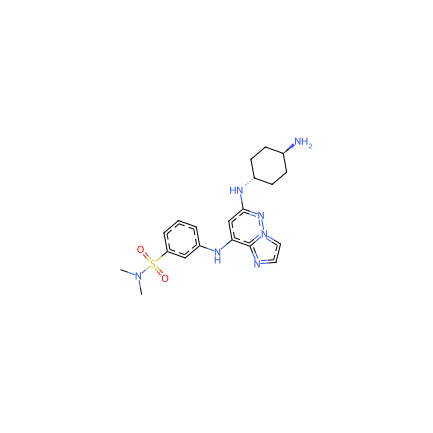 CN(C)S(=O)(=O)c1cccc(Nc2cc(N[C@H]3CC[C@H](N)CC3)nn3ccnc23)c1